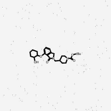 CC(C)(C)OC(=O)N1CCC(CN2Cc3cccc(OC4CCCCC4O)c3C2=O)CC1